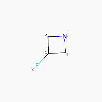 FC1C[N]C1